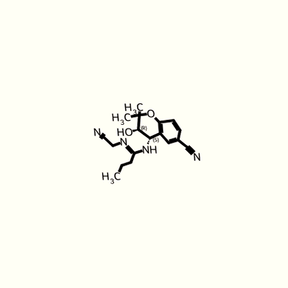 CCCC(=NCC#N)N[C@H]1c2cc(C#N)ccc2OC(C)(C)[C@@H]1O